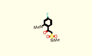 CNc1cc(F)ccc1C(=O)CS(=O)(=O)NC